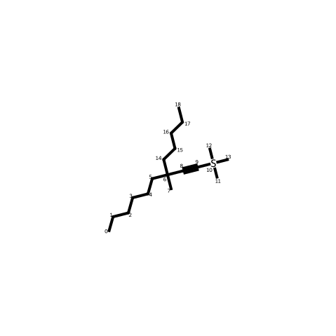 CCCCCCC(C)(C#CS(C)(C)C)CCCCC